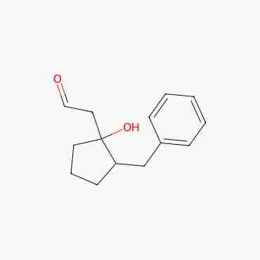 O=CCC1(O)CCCC1Cc1ccccc1